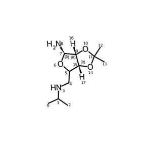 CC(C)NCC1O[C@@H](N)[C@@H]2OC(C)(C)O[C@H]12